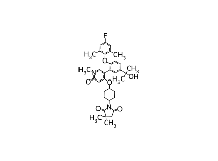 Cc1cc(F)cc(C)c1Oc1ccc(C(C)(C)O)cc1-c1cn(C)c(=O)cc1OC1CCC(N2C(=O)CC(C)(C)C2=O)CC1